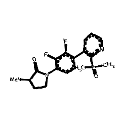 CNC1CCN(c2ccc(-c3cccnc3P(C)(C)=O)c(F)c2F)C1=O